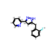 Fc1ccccc1Cc1cc(-c2ccccn2)n[nH]1